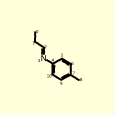 CC/C=N/c1ccc(C)cc1